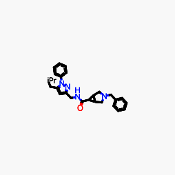 CC(C)Cc1cc(CNC(=O)C2C3CN(Cc4ccccc4)CC32)nn1-c1ccccc1